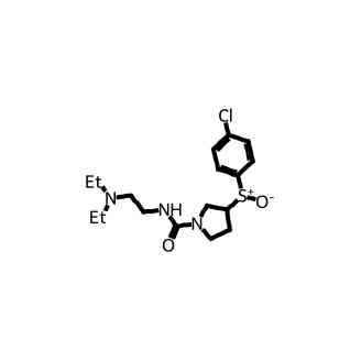 CCN(CC)CCNC(=O)N1CCC([S+]([O-])c2ccc(Cl)cc2)C1